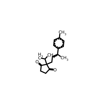 C/C(=C\CC1(C(C)C)C(=O)CCC1=O)c1ccc(C)cc1